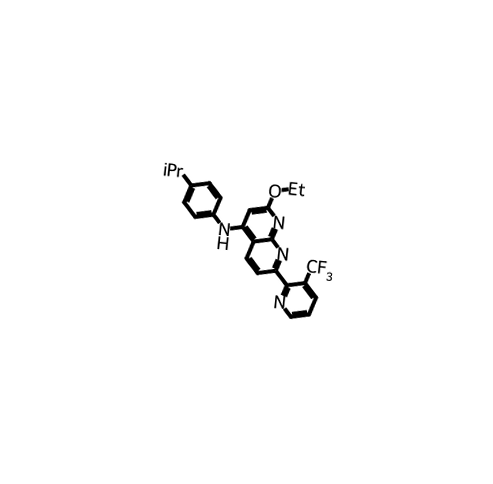 CCOc1cc(Nc2ccc(C(C)C)cc2)c2ccc(-c3ncccc3C(F)(F)F)nc2n1